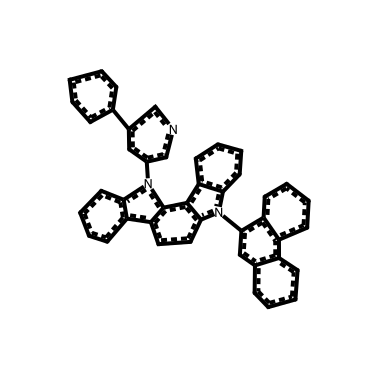 c1ccc(-c2cncc(-n3c4ccccc4c4ccc5c(c6ccccc6n5-c5cc6ccccc6c6ccccc56)c43)c2)cc1